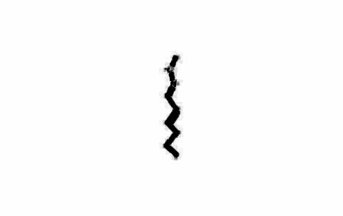 CCC/C=C/C=N/OC